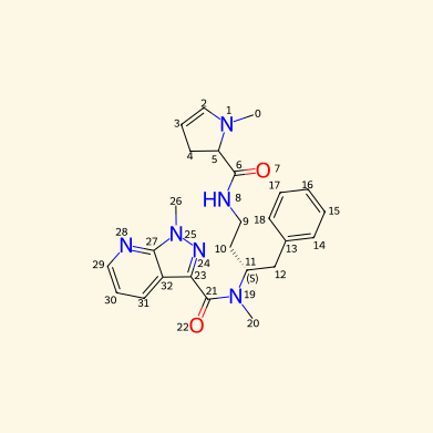 CN1C=CCC1C(=O)NCC[C@H](Cc1ccccc1)N(C)C(=O)c1nn(C)c2ncccc12